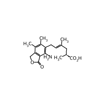 C/C(=C\Cc1c(C)c(C)c2c(c1N)C(=O)OC2)C[C@H](C)C(=O)O